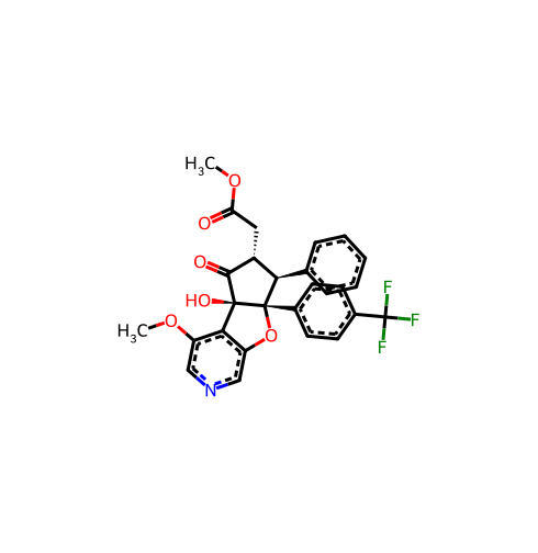 COC(=O)C[C@H]1C(=O)[C@@]2(O)c3c(OC)cncc3O[C@@]2(c2ccc(C(F)(F)F)cc2)[C@@H]1c1ccccc1